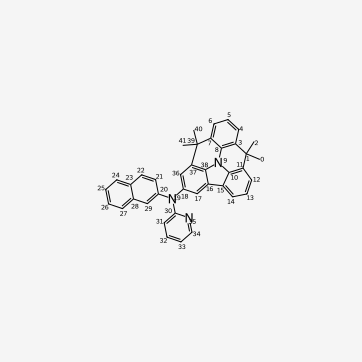 CC1(C)c2cccc3c2-n2c4c1cccc4c1cc(N(c4ccc5ccccc5c4)c4ccccn4)cc(c12)C3(C)C